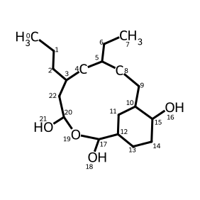 CCCC1CC(CC)CCC2CC(CCC2O)C(O)OC(O)C1